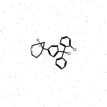 Clc1ccccc1C(Cl)(c1ccccc1)c1ccc(C23CCCCC[C@H]2C3)cc1